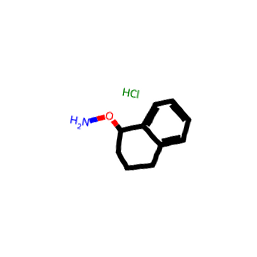 Cl.NOC1CCCc2ccccc21